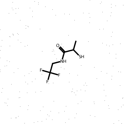 CC(S)C(=O)NCC(F)(F)F